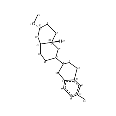 CO[C@@H]1CC[C@@H]2CC(C3CCc4cc(C)ccc4C3)CCC2C1